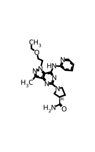 CCOCCn1nc(C)c2nc(N3CC[C@@H](C(N)=O)C3)nc(Nc3ccccn3)c21